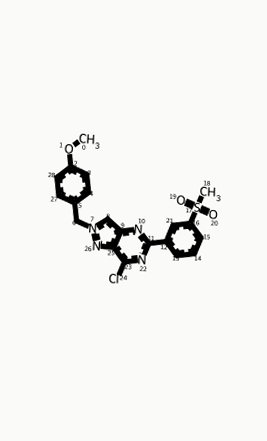 COc1ccc(Cn2cc3nc(-c4cccc(S(C)(=O)=O)c4)nc(Cl)c3n2)cc1